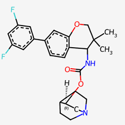 CC1(C)COc2cc(-c3cc(F)cc(F)c3)ccc2C1NC(=O)O[C@H]1CN2CCC1CC2